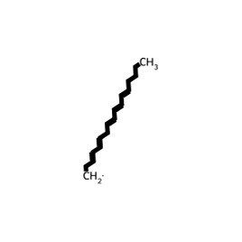 [CH2]CC=CC=CCC=CC=CC=CCCCC